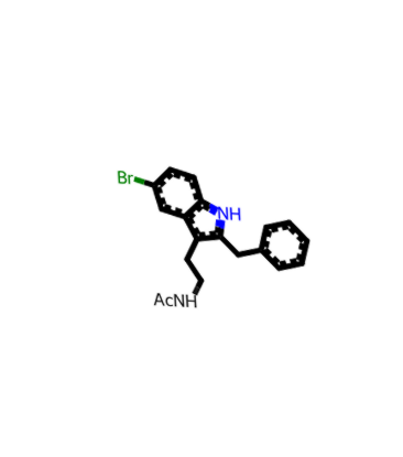 CC(=O)NCCc1c(Cc2ccccc2)[nH]c2ccc(Br)cc12